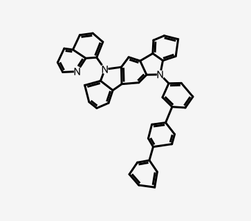 c1ccc(-c2ccc(-c3cccc(-n4c5ccccc5c5cc6c(cc54)c4ccccc4n6-c4cccc5cccnc45)c3)cc2)cc1